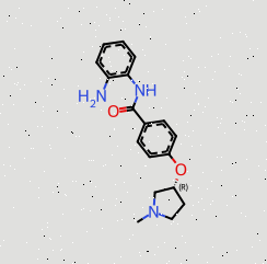 CN1CC[C@@H](Oc2ccc(C(=O)Nc3ccccc3N)cc2)C1